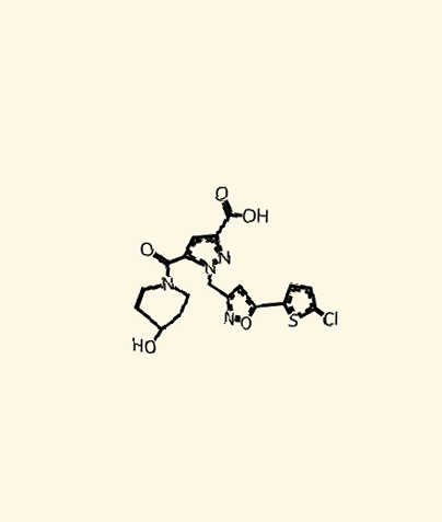 O=C(O)c1cc(C(=O)N2CCC(O)CC2)n(Cc2cc(-c3ccc(Cl)s3)on2)n1